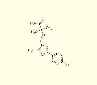 Cc1oc(-c2ccc(Cl)cc2)nc1COC(C)(C)C(=O)O